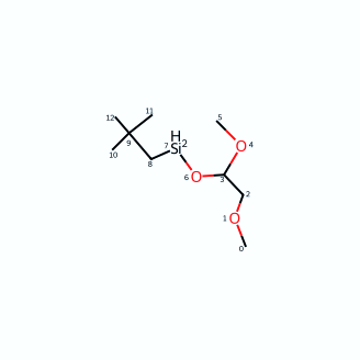 COCC(OC)O[SiH2]CC(C)(C)C